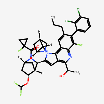 C[C@@H](O)c1nc2c(F)c(-c3cccc(Cl)c3Cl)c(CCC#N)cc2c2c1cc([C@H]1[C@H]3C[C@H](C[C@@H]3OC(F)F)N1C(=O)C1(F)CC1)n2[C@H]1[C@H]2CN[C@@H]1C2